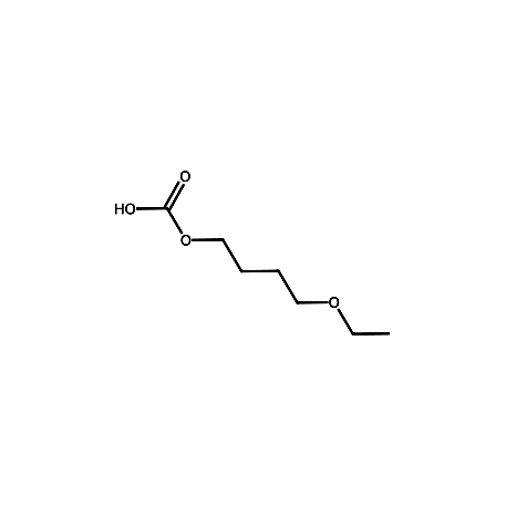 CCOCCCCOC(=O)O